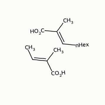 CC=C(C)C(=O)O.CCCCCCC=C(C)C(=O)O